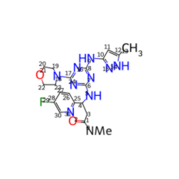 CNC(=O)CC(Nc1nc(Nc2cc(C)[nH]n2)nc(N2CCOCC2)n1)c1ccc(F)cn1